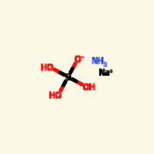 N.[Na+].[O-][Si](O)(O)O